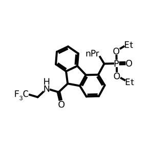 CCCC(c1cccc2c1-c1ccccc1C2C(=O)NCC(F)(F)F)P(=O)(OCC)OCC